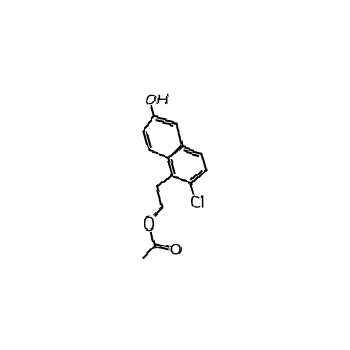 CC(=O)OCCc1c(Cl)ccc2cc(O)ccc12